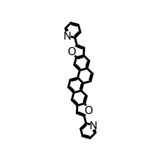 c1ccc(-c2cc3cc4ccc5c6cc7oc(-c8ccccn8)cc7cc6ccc5c4cc3o2)nc1